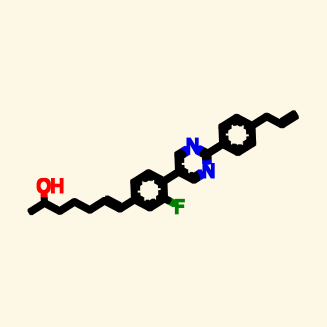 C=CCc1ccc(-c2ncc(-c3ccc(/C=C/CCCC(C)O)cc3F)cn2)cc1